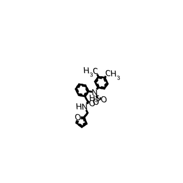 Cc1ccc(N(c2ccccc2C(=O)NCc2ccco2)[SH](=O)=O)cc1C